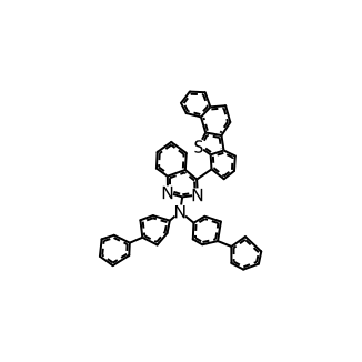 c1ccc(-c2ccc(N(c3ccc(-c4ccccc4)cc3)c3nc(-c4cccc5c4sc4c6ccccc6ccc54)c4ccccc4n3)cc2)cc1